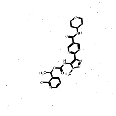 C[C@@H](OC(=O)Nc1c(-c2ccc(C(=O)NC3CCOCC3)cn2)nnn1C)c1cccnc1Cl